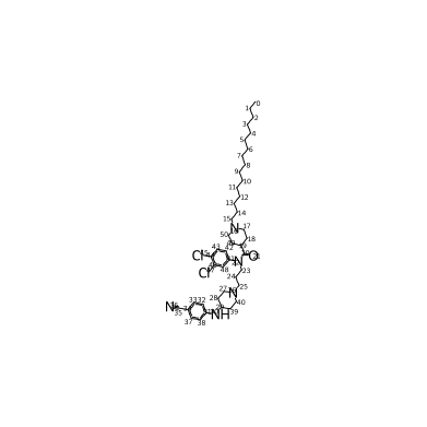 CCCCCCCCCCCCCCCCN1CCC(C(=O)N(CCCN2CCC(Nc3ccc(C#N)cc3)CC2)c2ccc(Cl)c(Cl)c2)CC1